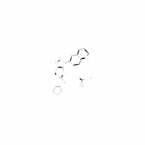 NC(=O)O.c1cnc2ccc(-n3nnc4cnc(NC5CCCC5)nc43)cc2c1